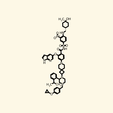 CC(C)c1ccccc1C1CN(Cc2ccc(OC3CC3)cc2)CCN1C1CC2(CCN(c3ccc(C(=O)NS(=O)(=O)c4ccc(NC[C@H]5CC[C@](C)(O)CC5)c([N+](=O)[O-])c4)c(Oc4cnc5[nH]ccc5c4)c3)CC2)C1